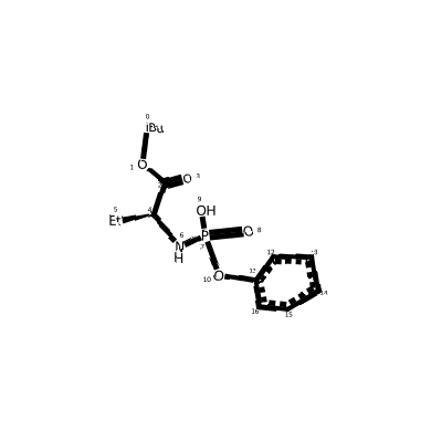 CCC(C)OC(=O)[C@H](CC)NP(=O)(O)Oc1ccccc1